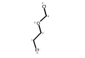 C[CH]CCOCCl